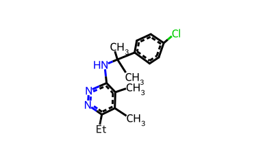 CCc1nnc(NC(C)(C)c2ccc(Cl)cc2)c(C)c1C